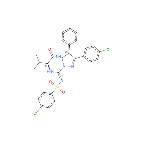 CC(C)[C@H](N/C(=N\S(=O)(=O)c1ccc(Cl)cc1)N1C[C@@H](c2ccccc2)C(c2ccc(Cl)cc2)=N1)C(N)=O